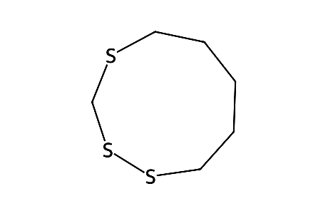 C1CCSCSSCC1